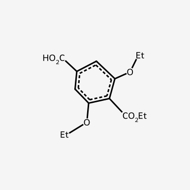 CCOC(=O)c1c(OCC)cc(C(=O)O)cc1OCC